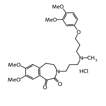 COc1ccc(OCCCN(C)CCCN2CCc3cc(OC)c(OC)cc3C(=O)C2=O)cc1OC.Cl